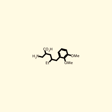 CCC(Cc1cccc(OC)c1OC)CC(CN)C(=O)O